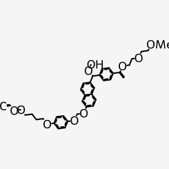 C=C=COOCCCCOc1ccc(OCOc2ccc3cc(C(OO)c4ccc(C(=C)OCCOCCOC)cc4)ccc3c2)cc1